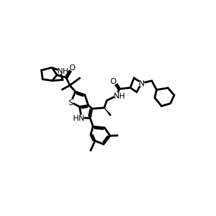 Cc1cc(C)cc(-c2[nH]c3sc(C(C)(C)C(=O)C4C5CCC4NC5)cc3c2[C@H](C)CNC(=O)C2CN(CC3CCCCC3)C2)c1